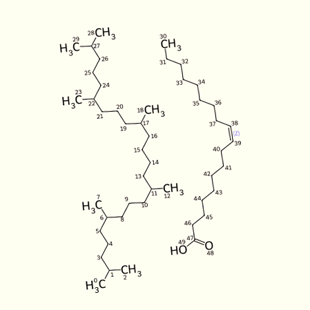 CC(C)CCCC(C)CCCC(C)CCCCC(C)CCCC(C)CCCC(C)C.CCCCCCCC/C=C\CCCCCCCC(=O)O